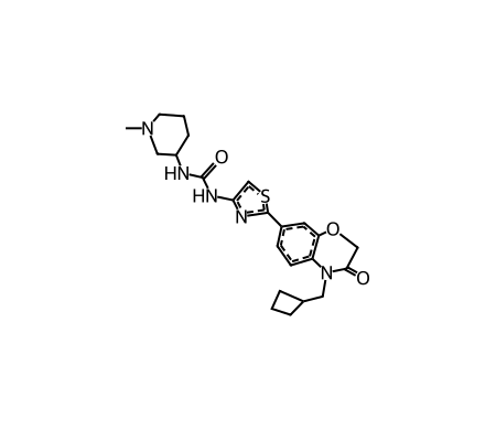 CN1CCCC(NC(=O)Nc2csc(-c3ccc4c(c3)OCC(=O)N4CC3CCC3)n2)C1